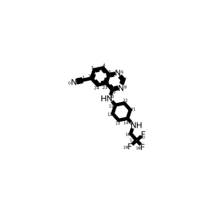 N#Cc1ccc2ncnc(NC3CCC(NCC(F)(F)F)CC3)c2c1